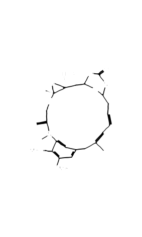 C=C1CC[C@]2(C)O[C@H]2[C@H](C)C2CC(C/C=C/C=C(\C)Cc3cc(OC)c(OC)c(c3)N1C)NC(=O)O2